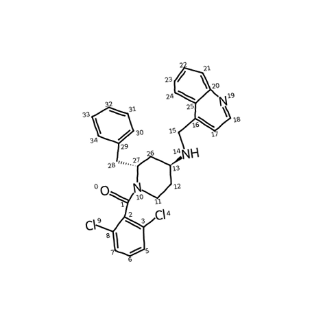 O=C(c1c(Cl)cccc1Cl)N1CC[C@H](NCc2ccnc3ccccc23)C[C@H]1Cc1ccccc1